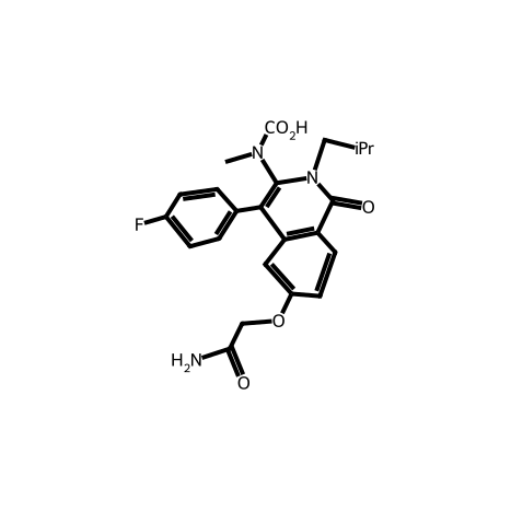 CC(C)Cn1c(N(C)C(=O)O)c(-c2ccc(F)cc2)c2cc(OCC(N)=O)ccc2c1=O